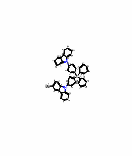 CCC(C)c1ccc2c(c1)c1ccccc1n2-c1ccc([Si](c2ccccc2)(c2ccccc2)c2ccc(-n3c4ccccc4c4ccccc43)cc2)cc1